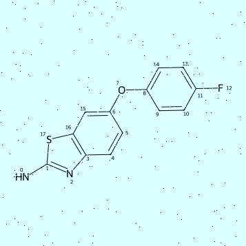 [NH]c1nc2ccc(Oc3ccc(F)cc3)cc2s1